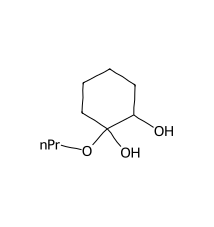 CCCOC1(O)CCCCC1O